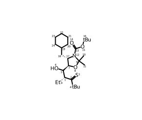 CC[C@@H](C(=S)C(C)(C)C)C(O)[C@@H]1OC(C)(C)N(C(=O)OC(C)(C)C)[C@H]1CC1CCCCC1